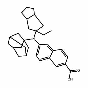 CCC1(N(c2ccc3cc(C(=O)O)ccc3c2)C23CC4CC(CC(C4)C2)C3)CC2CCCC2C1